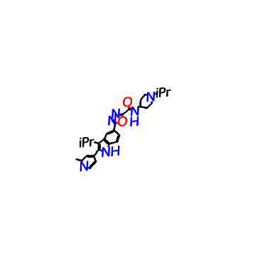 Cc1cc(-c2[nH]c3ccc(-c4nnc(C(=O)NC5CCN(C(C)C)CC5)o4)cc3c2C(C)C)ccn1